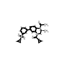 CC(=O)N1c2ccc(-c3cccc(S(=O)(=O)C4CC4)c3)cc2N(C(=O)C2CC2)C[C@@H]1C